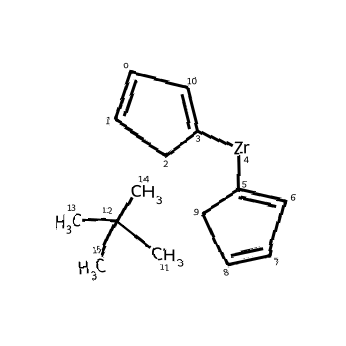 C1=CC[C]([Zr][C]2=CC=CC2)=C1.CC(C)(C)C